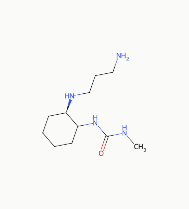 CNC(=O)NC1CCCC[C@H]1NCCCN